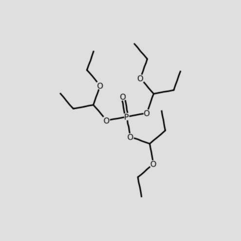 CCOC(CC)OP(=O)(OC(CC)OCC)OC(CC)OCC